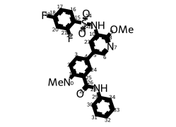 CNc1ccc(-c2cnc(OC)c(NS(=O)(=O)c3ccc(F)cc3F)c2)cc1C(=O)Nc1ccccc1